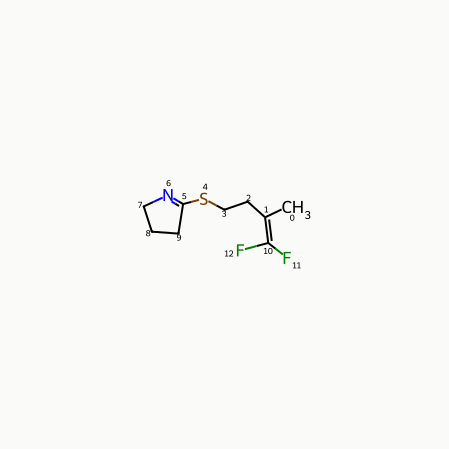 CC(CCSC1=NCCC1)=C(F)F